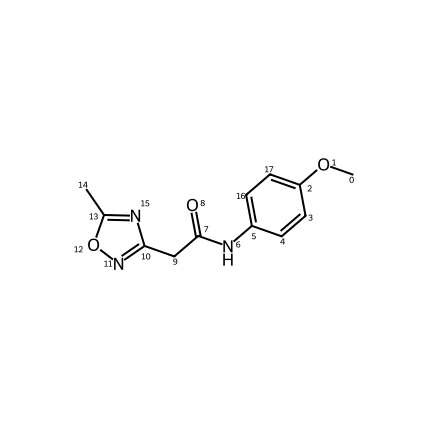 COc1ccc(NC(=O)Cc2noc(C)n2)cc1